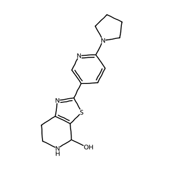 OC1NCCc2nc(-c3ccc(N4CCCC4)nc3)sc21